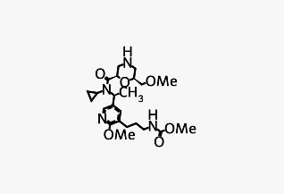 COC[C@@H]1CNC[C@H](C(=O)N(C2CC2)[C@@H](C)c2cnc(OC)c(CCCNC(=O)OC)c2)O1